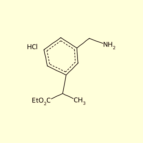 CCOC(=O)C(C)c1cccc(CN)c1.Cl